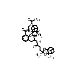 COc1c(CC(NC(=O)CCC2(C)OC3CC4CC(C4(C)C)C3(C)O2)B2OC3CC4CC(C4(C)C)C3(C)O2)cccc1C(=O)OCOC(=O)C(C)(C)C